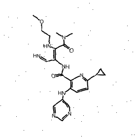 COCCN/C(C(=O)N(C)C)=C(\C=N)NC(=O)c1nc(C2CC2)ccc1Nc1cncnc1